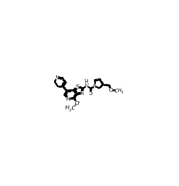 COCC1CCN(C(=O)Nc2nc3c(OC)ncc(C4=CC=NCC4)c3s2)C1